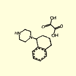 O=C(O)C(=O)O.c1ccc2c(c1)CCCC2N1CCNCC1